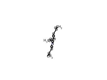 C=CC(=O)OCCCCOc1ccc(/C=N/c2ccc(OC(=O)c3ccc(OCCCCOC(=O)C=C)cc3)c(C(=O)OC)c2)cc1